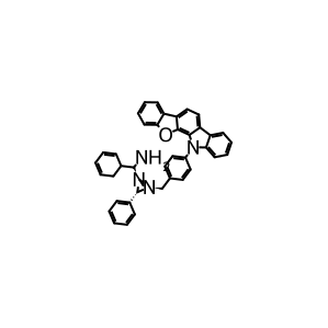 NC(C1C=CC=CC1)[N@]1[C@@H](c2ccccc2)[N@]1Cc1ccc(-n2c3ccccc3c3ccc4c5ccccc5oc4c32)cc1